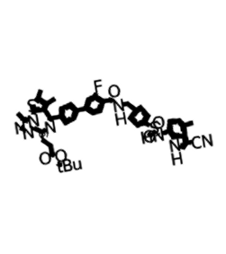 Cc1sc2c(c1C)C(c1ccc(-c3ccc(C(=O)NCc4ccc(S(=O)(=O)Nc5ccc(C)c6c(C#N)c[nH]c56)cc4)c(F)c3)cc1)=N[C@@H](CCC(=O)OC(C)(C)C)c1nnc(C)n1-2